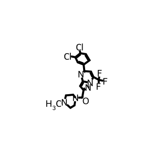 CN1CCN(C(=O)c2cc3nc(-c4ccc(Cl)c(Cl)c4)cc(C(F)(F)F)n3n2)CC1